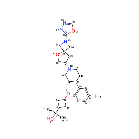 CC(C)(O)C1CC(Oc2ccc(F)cc2C2CCN([C@@H]3COC4(C3)CN(c3nnco3)C4)CC2)C1